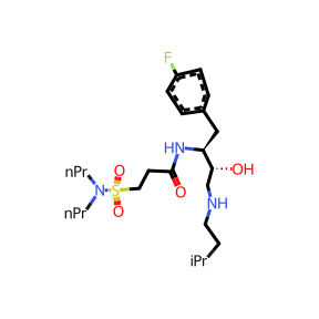 CCCN(CCC)S(=O)(=O)CCC(=O)N[C@@H](Cc1ccc(F)cc1)[C@H](O)CNCCC(C)C